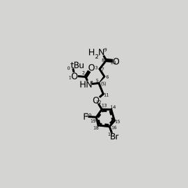 CC(C)(C)OC(=O)N[C@@H](CCC(N)=O)COc1ccc(Br)cc1F